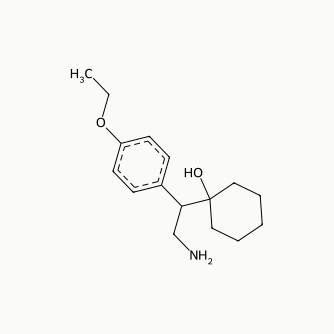 CCOc1ccc(C(CN)C2(O)CCCCC2)cc1